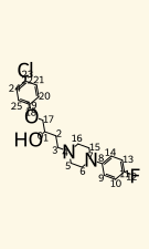 OC(CCN1CCN(c2ccc(F)cc2)CC1)COc1ccc(Cl)cc1